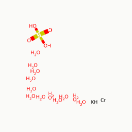 O.O.O.O.O.O.O.O.O.O.O.O.O=S(=O)(O)O.[Cr].[KH]